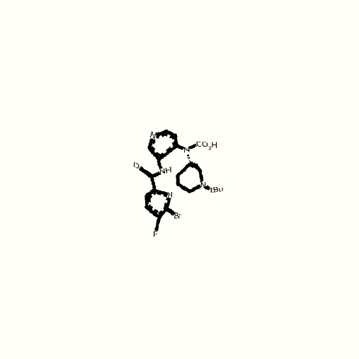 CC(C)(C)N1CCC[C@H](N(C(=O)O)c2ccncc2NC(=O)c2ccc(F)c(Br)n2)C1